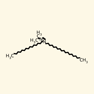 CCCCCCCCCCCCCCCCCCCN1C=CN(C(C)C)C1CCCCCCCCCCCCCCC